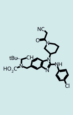 C[C@H](N(Cc1ccc2c(c1)nc(Nc1ccc(Cl)cc1)n2C1CCCN(C(=O)CC#N)C1)C(=O)O)C(C)(C)C